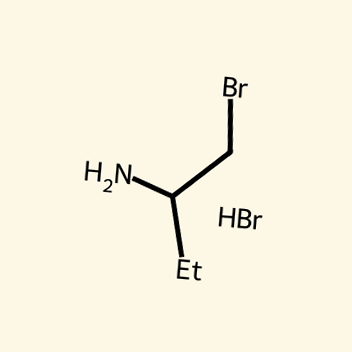 Br.CCC(N)CBr